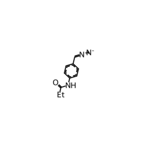 CCC(=O)Nc1ccc(C=[N+]=[N-])cc1